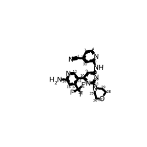 N#Cc1ccnc(Nc2cc(-c3cnc(N)cc3C(F)(F)F)nc(N3CCOCC3)n2)c1